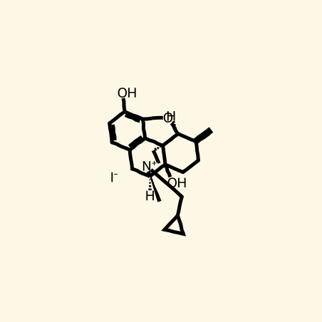 C=C1CCC2(O)[C@H]3Cc4ccc(O)c5c4[C@@]2(CC[N@+]3(C)CC2CC2)[C@H]1O5.[I-]